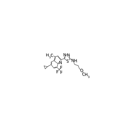 COCCCNc1nnc(-c2cc(C)c3cc(C4CC4)cc(C(F)(F)F)c3n2)s1